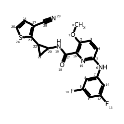 COc1ccc(Nc2cc(F)cc(F)c2)nc1C(=O)NC1CC1c1sccc1C#N